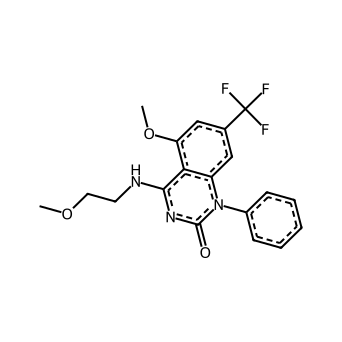 COCCNc1nc(=O)n(-c2ccccc2)c2cc(C(F)(F)F)cc(OC)c12